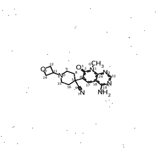 Cn1c(=O)c(C2(C#N)CCN(C3COC3)CC2)cc2c(N)ncnc21